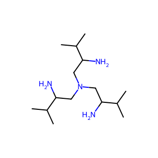 CC(C)C(N)CN(CC(N)C(C)C)CC(N)C(C)C